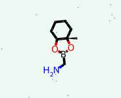 C[C@]12CCCCC1OB(CN)O2